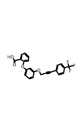 O=C(O)c1ccccc1Oc1cccc(OCC#Cc2ccc(C(F)(F)F)cc2)c1